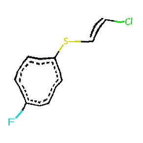 Fc1ccc(SC=CCl)cc1